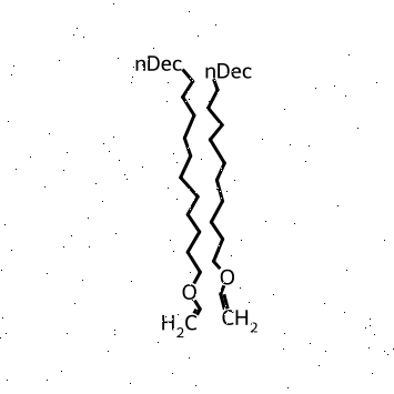 C=COCCCCCCCCCCCCCCCCCCCC.C=COCCCCCCCCCCCCCCCCCCCCC